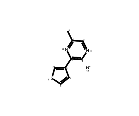 Cc1cncc(-c2ccsc2)n1.[H+]